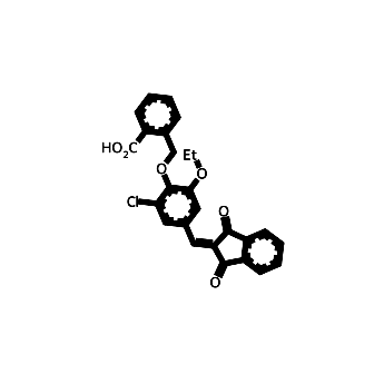 CCOc1cc(C=C2C(=O)c3ccccc3C2=O)cc(Cl)c1OCc1ccccc1C(=O)O